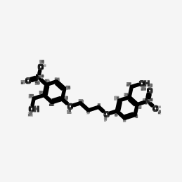 O=[N+]([O-])c1ccc(OCCCOc2ccc([N+](=O)[O-])c(CO)c2)cc1CO